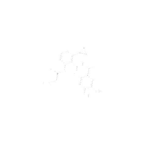 CCC(=O)Oc1cccc(C2CC2)c1COc1cc(C)c(C)cc1C(F)F